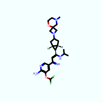 CC(C)N/C(=C\C(=N)c1cnc(N)c(OC(F)F)c1)[C@H]1[C@@H]2CC(N3CC4(CN(C)CCO4)C3)C[C@@H]21